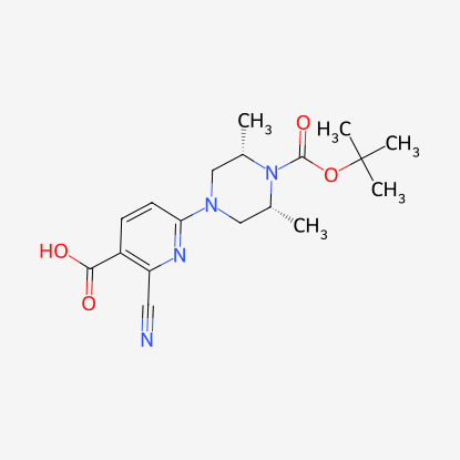 C[C@@H]1CN(c2ccc(C(=O)O)c(C#N)n2)C[C@H](C)N1C(=O)OC(C)(C)C